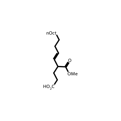 CCCCCCCCCCC=CC(CCC(=O)O)C(=O)OC